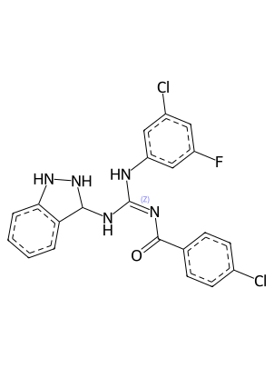 O=C(/N=C(/Nc1cc(F)cc(Cl)c1)NC1NNc2ccccc21)c1ccc(Cl)cc1